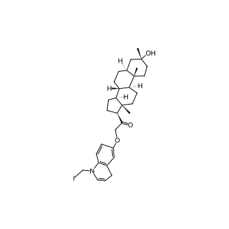 C[C@@]1(O)CC[C@@]2(C)[C@@H](CC[C@@H]3[C@@H]2CC[C@]2(C)[C@@H](C(=O)COc4ccc5c(c4)CC=CN5CI)CC[C@@H]32)C1